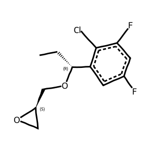 CC[C@@H](OC[C@H]1CO1)c1cc(F)cc(F)c1Cl